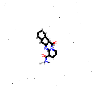 CCCN(C)C(=O)c1cccn2c(=O)c3cc4ccccc4cc3nc12